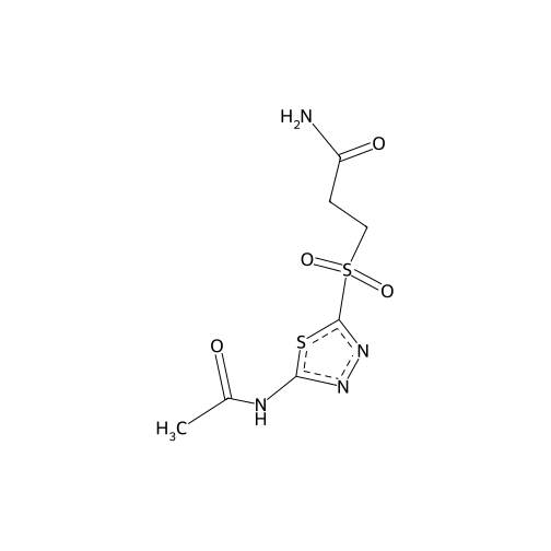 CC(=O)Nc1nnc(S(=O)(=O)CCC(N)=O)s1